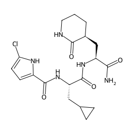 NC(=O)[C@H](C[C@@H]1CCCNC1=O)NC(=O)[C@H](CC1CC1)NC(=O)c1ccc(Cl)[nH]1